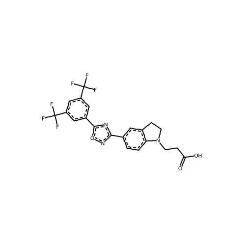 O=C(O)CCN1CCc2cc(-c3noc(-c4cc(C(F)(F)F)cc(C(F)(F)F)c4)n3)ccc21